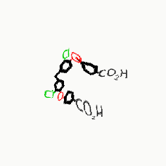 O=C(O)c1ccc(Oc2ccc(Cc3ccc(Oc4ccc(C(=O)O)cc4)c(Cl)c3)cc2Cl)cc1